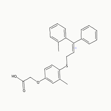 Cc1cc(OCC(=O)O)ccc1SC/C=C(/c1ccccc1)c1ccccc1C